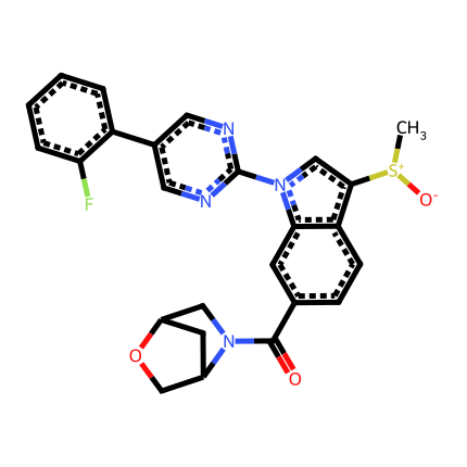 C[S+]([O-])c1cn(-c2ncc(-c3ccccc3F)cn2)c2cc(C(=O)N3CC4CC3CO4)ccc12